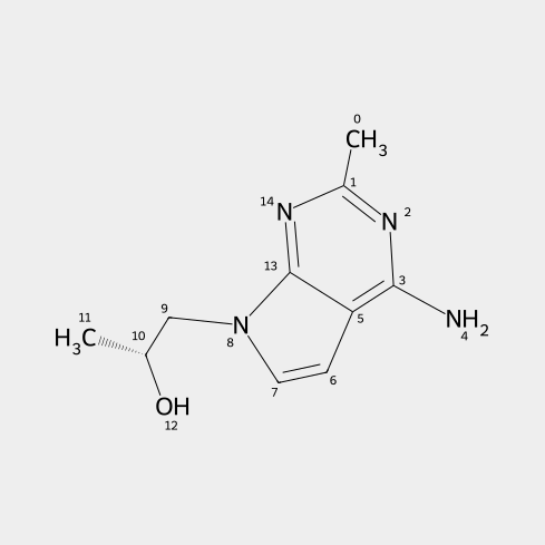 Cc1nc(N)c2ccn(C[C@@H](C)O)c2n1